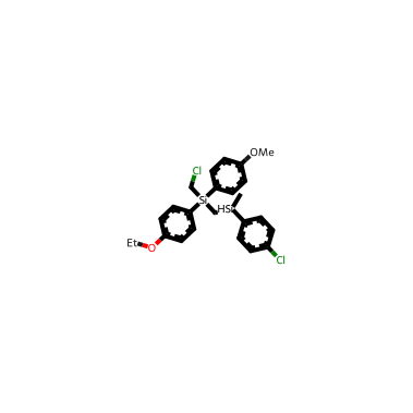 CCOc1ccc([Si](CCl)(C[SiH](C)c2ccc(Cl)cc2)c2ccc(OC)cc2)cc1